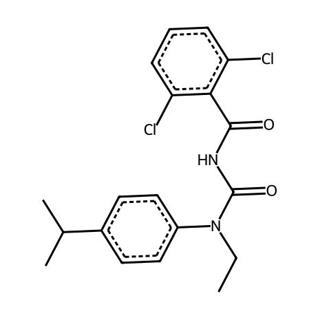 CCN(C(=O)NC(=O)c1c(Cl)cccc1Cl)c1ccc(C(C)C)cc1